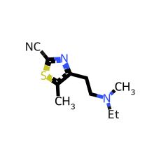 CCN(C)CCc1nc(C#N)sc1C